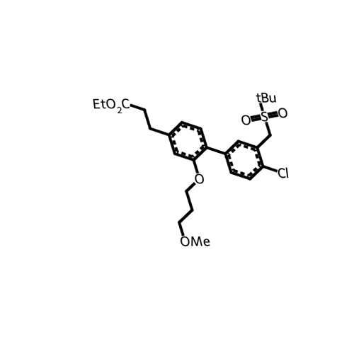 CCOC(=O)CCc1ccc(-c2ccc(Cl)c(CS(=O)(=O)C(C)(C)C)c2)c(OCCCOC)c1